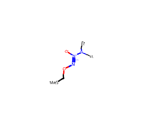 CCN(CC)/[N+]([O-])=N/OCSC